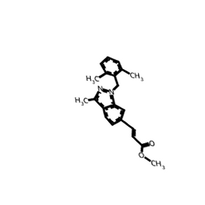 COC(=O)/C=C/c1ccc2c(C)nn(Cc3c(C)cccc3C)c2c1